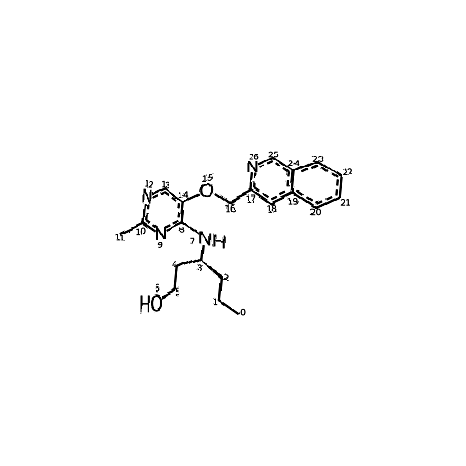 CCC[C@@H](CCO)Nc1nc(C)ncc1OCc1cc2ccccc2cn1